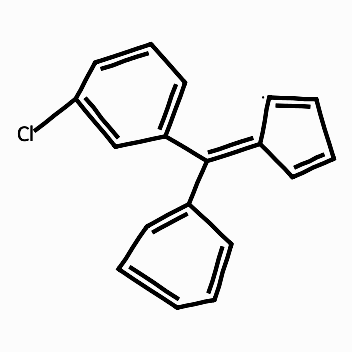 Clc1cccc(C(=C2[C]=CC=C2)c2ccccc2)c1